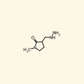 CN1CCC(CNN)C1=O